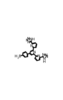 Bc1ccc(-c2cc(-c3cccc(-c4nnn[nH]4)n3)nc(-c3cccc(-c4nnn[nH]4)n3)c2)cc1